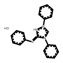 [OH-].c1ccc(N=c2[nH][n+](-c3ccccc3)cn2-c2ccccc2)cc1